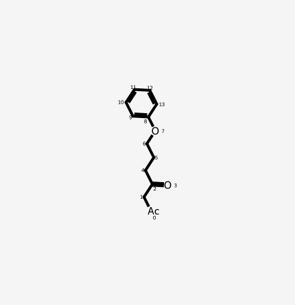 CC(=O)CC(=O)CCCOc1ccccc1